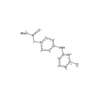 COC(=O)Cc1ccc(Nc2ccnc(Cl)n2)cc1